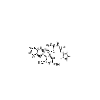 CN(Cc1cccs1)C(=O)c1ccc(N(Cc2ccccc2)C(=O)c2ccc(O)cc2O)cc1